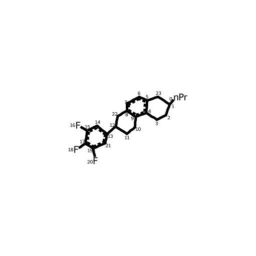 CCCC1CCc2c(ccc3c2CCC(c2cc(F)c(F)c(F)c2)C3)C1